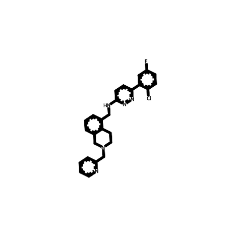 Fc1ccc(Cl)c(-c2ccc(NCc3cccc4c3CCN(Cc3ccccn3)C4)nn2)c1